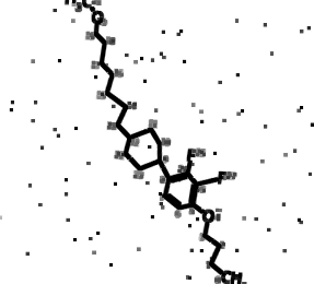 CCCCOc1ccc(C2CCC(CCCCCCCOC)CC2)c(F)c1F